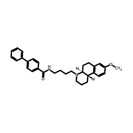 COc1ccc2c(c1)CC[C@H]1[C@H]2CCCN1CCCCNC(=O)c1ccc(-c2ccccc2)cc1